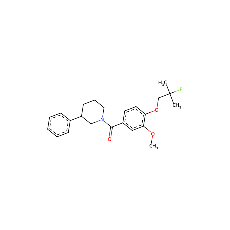 COc1cc(C(=O)N2CCCC(c3ccccc3)C2)ccc1OCC(C)(C)F